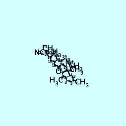 Cc1ccc2c(C)c3c(c(C)c2c1)-c1c2c(cc4cc(CC(C)(C)C#N)ccc4c2cc[n+]1C)O3